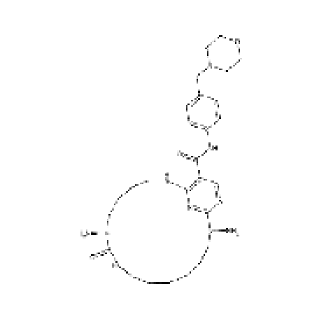 N[C@H]1CCCCNc2nc(ncc2C(=O)Nc2ccc(CN3CCOCC3)cc2)N(N)CCCCCCNC1=O